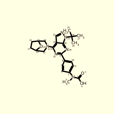 CN(C(=O)O)c1ccc(-c2nc(N3CC4CCC(C3)O4)c3cnn(C(C)(C)C)c3n2)cc1